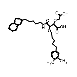 Cc1ccc(CCCCCOC(C(=O)NCCCCCc2ccc3ccccc3c2)C(OCC(=O)O)C(=O)O)cc1C